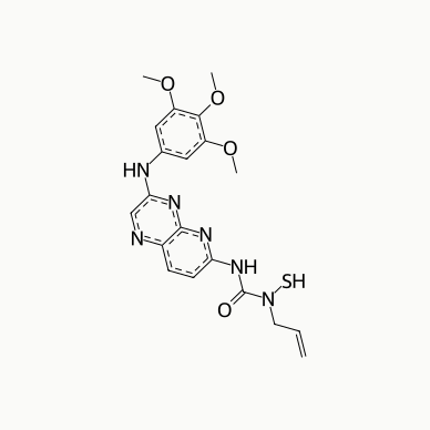 C=CCN(S)C(=O)Nc1ccc2ncc(Nc3cc(OC)c(OC)c(OC)c3)nc2n1